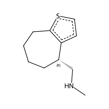 CNC[C@@H]1CCCCc2sccc21